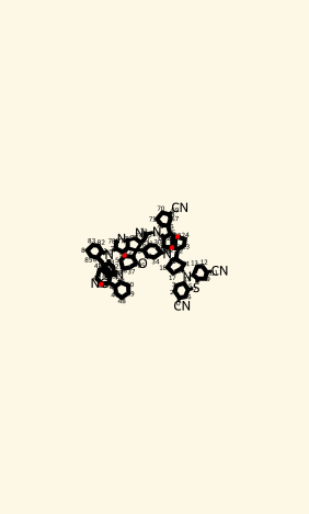 N#Cc1ccc2c(c1)Sc1cc(C#N)ccc1N2c1ccc2c(c1)c1ccccc1n2-c1ccc2c(c1)Oc1cc(-n3c4ccccc4c4ccccc43)ccc1C21c2cc(-n3c4ccccc4c4cc(C#N)ccc43)cnc2-c2ncc(-n3c4ccccc4c4cc(C#N)ccc43)cc21